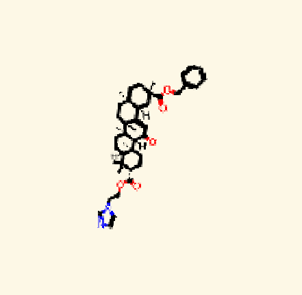 CC1(C)[C@@H](C(=O)OCCn2ccnc2)CC[C@]2(C)[C@H]3C(=O)C=C4[C@@H]5C[C@@](C)(C(=O)OCc6ccccc6)CC[C@]5(C)CC[C@@]4(C)[C@]3(C)CC[C@@H]12